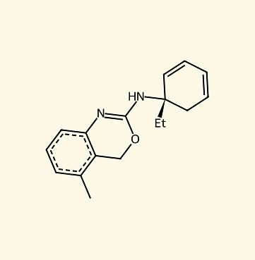 CC[C@@]1(NC2=Nc3cccc(C)c3CO2)C=CC=CC1